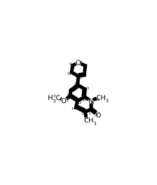 COc1cc(C2=CCOCC2)cc2c1cc(C)c(=O)n2C